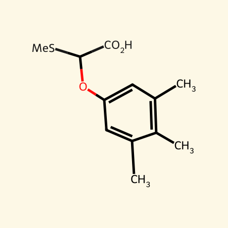 CSC(Oc1cc(C)c(C)c(C)c1)C(=O)O